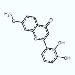 COc1ccc2c(=O)cc(-c3cccc(O)c3O)oc2c1